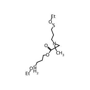 CCO[SiH2]CCCOC(=O)C1(C)CN1CCCSOCC